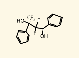 O[C@H](c1ccccc1)C(F)(F)[C@](O)(c1ccccc1)C(F)(F)F